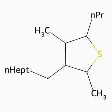 CCCCCCCCC1C(C)SC(CCC)C1C